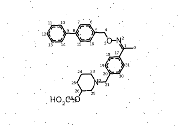 CC(=NOCc1ccc(-c2ccccc2)cc1)c1ccc(CN2CCCC(OC(=O)O)C2)cc1